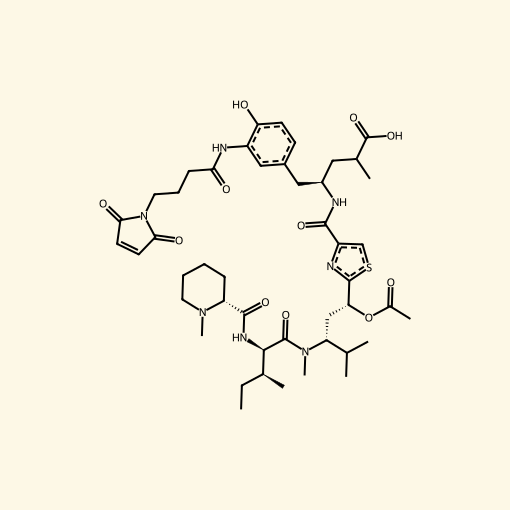 CC[C@H](C)[C@@H](NC(=O)[C@H]1CCCCN1C)C(=O)N(C)[C@H](C[C@@H](OC(C)=O)c1nc(C(=O)N[C@@H](Cc2ccc(O)c(NC(=O)CCCN3C(=O)C=CC3=O)c2)CC(C)C(=O)O)cs1)C(C)C